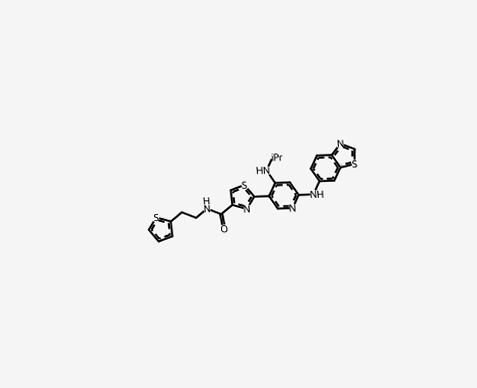 CC(C)Nc1cc(Nc2ccc3ncsc3c2)ncc1-c1nc(C(=O)NCCc2cccs2)cs1